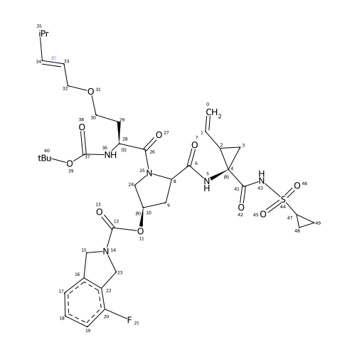 C=CC1C[C@]1(NC(=O)C1C[C@@H](OC(=O)N2Cc3cccc(F)c3C2)CN1C(=O)[C@H](CCOC/C=C/C(C)C)NC(=O)OC(C)(C)C)C(=O)NS(=O)(=O)C1CC1